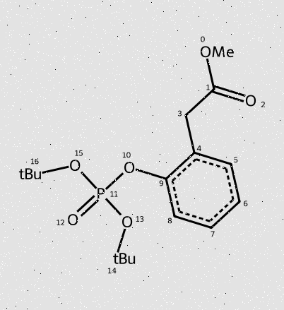 COC(=O)Cc1ccccc1OP(=O)(OC(C)(C)C)OC(C)(C)C